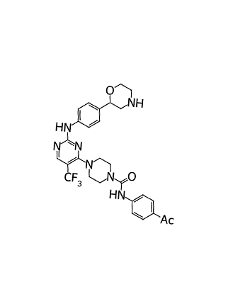 CC(=O)c1ccc(NC(=O)N2CCN(c3nc(Nc4ccc(C5CNCCO5)cc4)ncc3C(F)(F)F)CC2)cc1